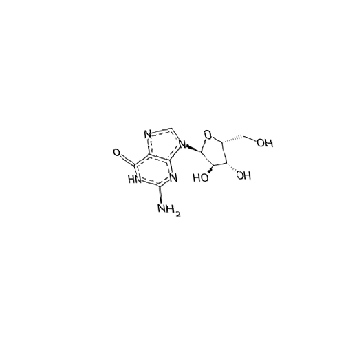 Nc1nc2c(ncn2[C@H]2O[C@H](CO)[C@H](O)[C@H]2O)c(=O)[nH]1